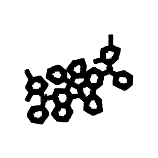 Cc1ccc(N(c2ccccc2)c2ccc3c4c(c5ccccc5c3c2)-c2c(cc(N(c3ccccc3)c3ccc(C)cc3C)c3ccccc23)C4(c2ccccc2)c2ccccc2)c(C)c1